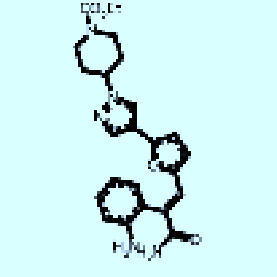 CCOC(=O)N1CCC(n2cc(-c3ccc(C=C(C(N)=O)c4ccccc4N)o3)cn2)CC1